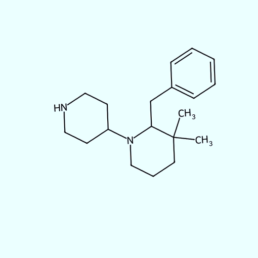 CC1(C)CCCN(C2CCNCC2)C1Cc1ccccc1